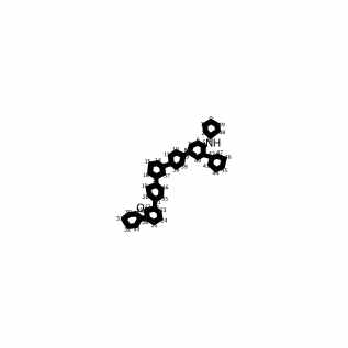 c1ccc(Nc2ccc(-c3ccc(-c4cccc(-c5ccc(-c6cccc7c6oc6ccccc67)cc5)c4)cc3)cc2-c2ccccc2)cc1